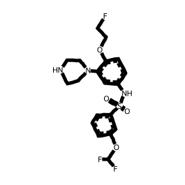 O=S(=O)(Nc1ccc(OCCF)c(N2CCNCC2)c1)c1cccc(OC(F)F)c1